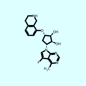 Cc1ncnc2c1c(F)cn2[C@@H]1C[C@H](Oc2cccc3c2CNCC3)[C@@H](O)[C@H]1O